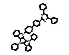 C1=CC(c2ccc(-c3nc(-c4ccccc4)cc(-c4ccccc4)n3)cc2)CC=C1n1c2ccccc2c2c1c1c(c3ccccc3n1-c1ccccc1)n2-c1ccccc1